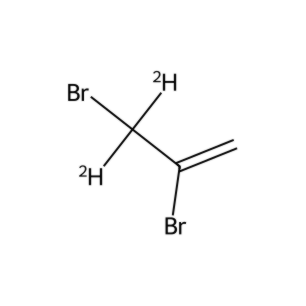 [2H]C([2H])(Br)C(=C)Br